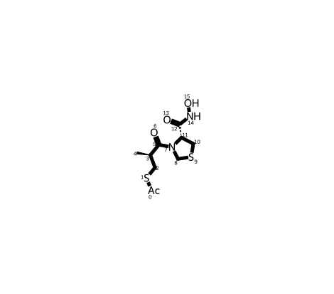 CC(=O)SC[C@@H](C)C(=O)N1CSC[C@H]1C(=O)NO